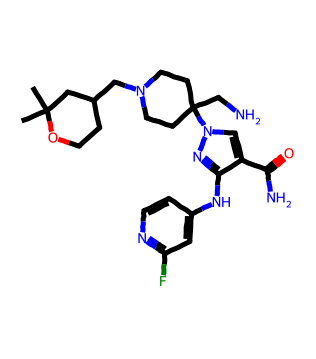 CC1(C)CC(CN2CCC(CN)(n3cc(C(N)=O)c(Nc4ccnc(F)c4)n3)CC2)CCO1